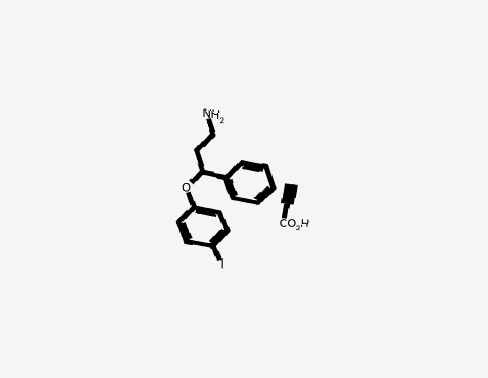 C#CC(=O)O.NCCC(Oc1ccc(I)cc1)c1ccccc1